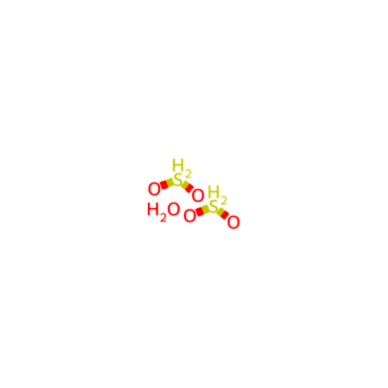 O.O=[SH2]=O.O=[SH2]=O